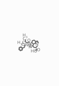 CC[C@H](C)[C@H](NC(=O)Cc1ccccc1)C(=O)N[C@H]1CCc2ccn3c2C1C(=O)C[C@H](C(=O)O)C3